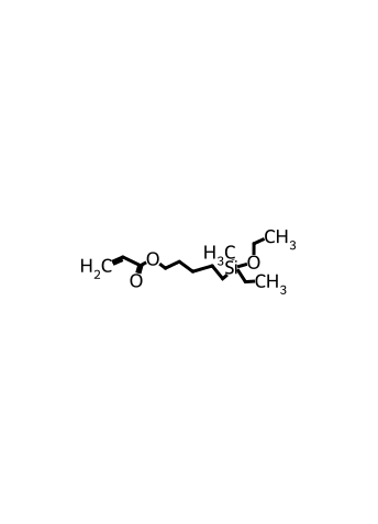 C=CC(=O)OCCCCC[Si](C)(CC)OCC